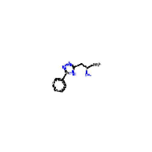 NC(Cc1nnc(-c2ccccc2)[nH]1)C(=O)O